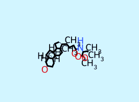 COC(=O)[C@@H](NC(=O)CC[C@@H](C)[C@H]1CC[C@H]2[C@@H]3CC[C@@H]4CC(=O)CC[C@]4(C)[C@H]3CC[C@]12C)C(C)C